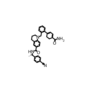 C[C@H](NC(=O)c1ccc2c(c1)CCCN2Cc1ccccc1C1=CC=C(C(N)=O)CC1)c1ccc(C#N)cc1